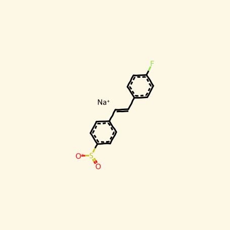 O=S([O-])c1ccc(C=Cc2ccc(F)cc2)cc1.[Na+]